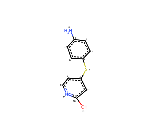 Nc1ccc(Sc2ccnc(O)c2)cc1